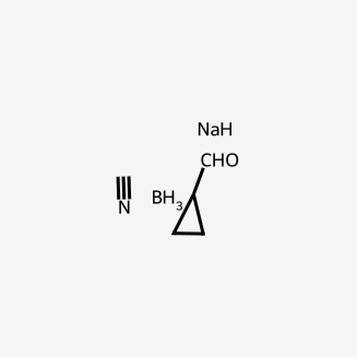 B.C#N.O=CC1CC1.[NaH]